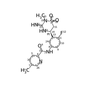 Cc1ccc(C(=O)Nc2ccc(F)c([C@@H]3CS(=O)(=O)N(C)C(=N)N3)c2)nc1